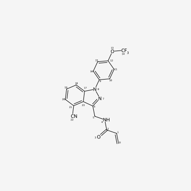 C=CC(=O)NCc1nn(-c2ccc(OC(F)(F)F)cc2)c2cccc(C#N)c12